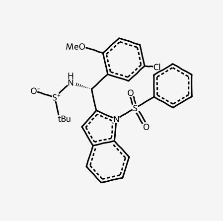 COc1ccc(Cl)cc1[C@@H](N[S+]([O-])C(C)(C)C)c1cc2ccccc2n1S(=O)(=O)c1ccccc1